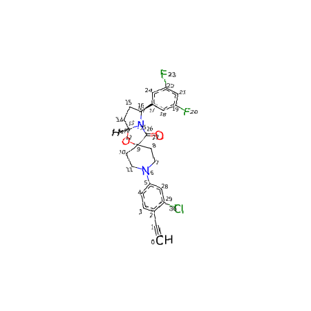 C#Cc1ccc(N2CCC3(CC2)O[C@@H]2CC[C@@H](c4cc(F)cc(F)c4)N2C3=O)cc1Cl